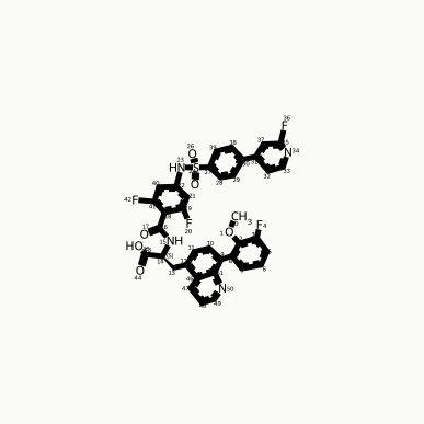 COc1c(F)cccc1-c1ccc(C[C@H](NC(=O)c2c(F)cc(NS(=O)(=O)c3ccc(-c4ccnc(F)c4)cc3)cc2F)C(=O)O)c2cccnc12